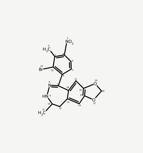 Cc1c([N+](=O)[O-])ccc(C2=NNC(C)Cc3cc4c(cc32)OCO4)c1Br